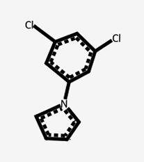 Clc1cc(Cl)cc(-n2c[c]cc2)c1